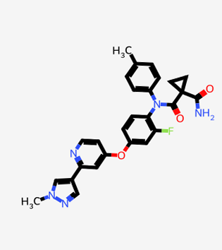 Cc1ccc(N(C(=O)C2(C(N)=O)CC2)c2ccc(Oc3ccnc(-c4cnn(C)c4)c3)cc2F)cc1